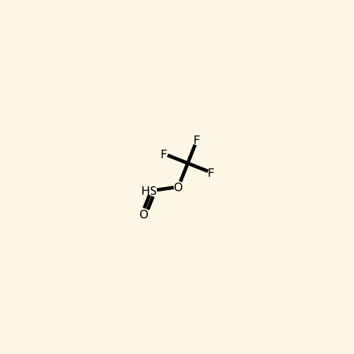 O=[SH]OC(F)(F)F